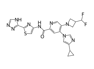 O=C(Nc1csc(-c2nnc[nH]2)n1)c1cc(-n2cnc(C3CC3)c2)c(N2CC(C(F)F)C2)cn1